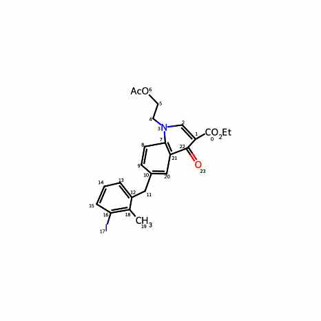 CCOC(=O)c1cn(CCOC(C)=O)c2ccc(Cc3cccc(I)c3C)cc2c1=O